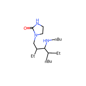 CCCCNC(C(CC)CCCC)C(CC)CN1CCNC1=O